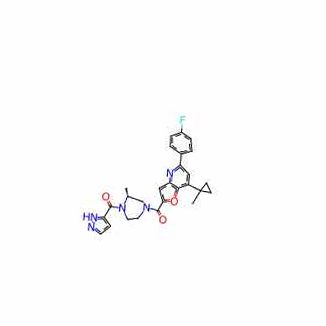 C[C@H]1CN(C(=O)c2cc3nc(-c4ccc(F)cc4)cc(C4(C)CC4)c3o2)CCN1C(=O)c1ccn[nH]1